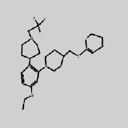 CCOc1ccc(C2CCN(CC(F)(F)F)CC2)c(N2CCC(COC3=CCCCO3)CC2)c1